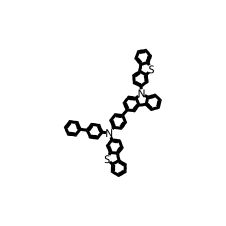 c1ccc(-c2ccc(N(c3ccc(-c4ccc5c(c4)c4ccccc4n5-c4ccc5c(c4)sc4ccccc45)cc3)c3ccc4c(c3)sc3ccccc34)cc2)cc1